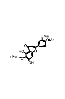 CCCCCOc1c(O)cc2oc(-c3ccc(OC)c(OC)c3)cc(=O)c2c1O